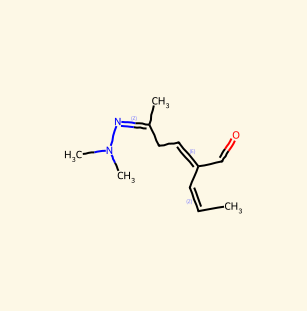 C/C=C\C(C=O)=C/C/C(C)=N\N(C)C